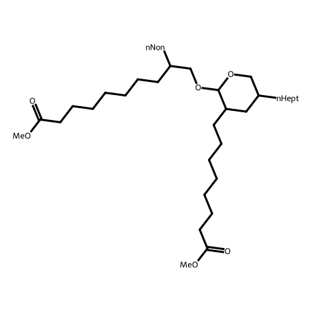 CCCCCCCCCC(CCCCCCCC(=O)OC)COC1OCC(CCCCCCC)CC1CCCCCCCC(=O)OC